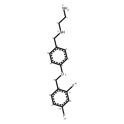 NCCNCc1ccc(OCc2ccc(F)cc2F)cc1